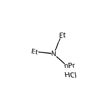 CCCN(CC)CC.Cl